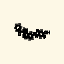 O=C(c1cnn2c1nnc1ccc(/N=N/c3cc(F)c(O)cc3F)cc12)N1CCCCC1